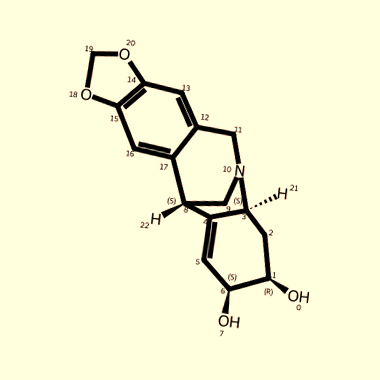 O[C@@H]1C[C@H]2C(=C[C@@H]1O)[C@H]1CN2Cc2cc3c(cc21)OCO3